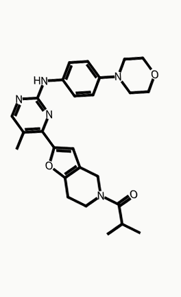 Cc1cnc(Nc2ccc(N3CCOCC3)cc2)nc1-c1cc2c(o1)CCN(C(=O)C(C)C)C2